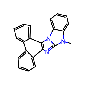 Cn1c2ccccc2n2c3c4ccccc4c4ccccc4c3nc12